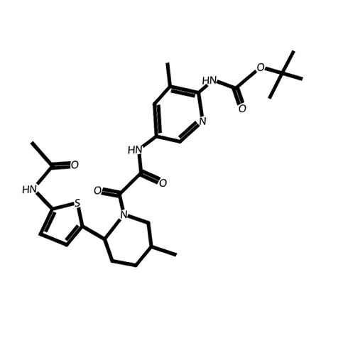 CC(=O)Nc1ccc(C2CCC(C)CN2C(=O)C(=O)Nc2cnc(NC(=O)OC(C)(C)C)c(C)c2)s1